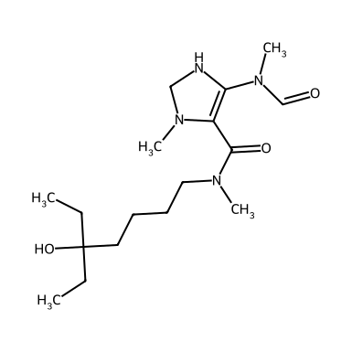 CCC(O)(CC)CCCCN(C)C(=O)C1=C(N(C)C=O)NCN1C